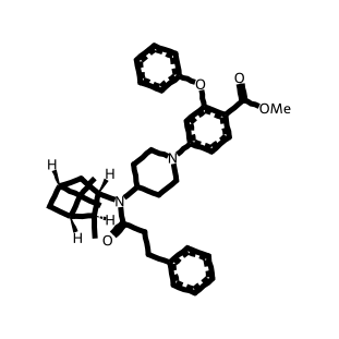 COC(=O)c1ccc(N2CCC(N(C(=O)CCc3ccccc3)[C@H]3C[C@H]4C[C@@H]([C@@H]3C)C4(C)C)CC2)cc1Oc1ccccc1